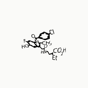 CCC(CCNC(=O)Cc1c(C)n(C(=O)c2ccc(Cl)cc2)c2cc(F)c(O)cc12)C(=O)O